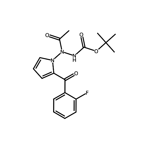 CC(=O)N(NC(=O)OC(C)(C)C)n1cccc1C(=O)c1ccccc1F